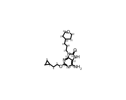 Nc1nc(OCCC2CC2)nc2c1[nH]c(=O)n2CCCC1CCOCC1